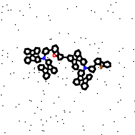 c1cc(-c2cccc3c2oc2ccc(-c4ccc5c(c4)-c4ccccc4C54c5ccccc5-c5ccc(N(c6cccc(-c7cccc8c7sc7ccccc78)c6)c6ccc7c(c6)C6(c8ccccc8-c8ccccc86)c6ccccc6-7)cc54)cc23)cc(N(c2ccc3c(c2)C2(c4ccccc4-c4ccccc42)c2ccccc2-3)c2ccc3c(c2)C2(c4ccccc4-c4ccccc42)c2ccccc2-3)c1